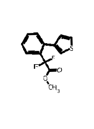 COC(=O)C(F)(F)c1ccccc1-c1ccsc1